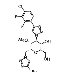 CO[C@@H]1[C@@H](n2cc(-c3ccc(Cl)c(F)c3F)nn2)[C@@H](O)[C@@H](CO)O[C@@H]1Cn1cc(C(C)(C)C)nn1